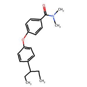 CCC(CC)c1ccc(Oc2ccc(C(=O)N(C)C)cc2)cc1